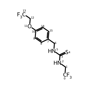 FC(F)(F)CNC(=S)NCc1ccc(OCC(F)(F)F)cc1